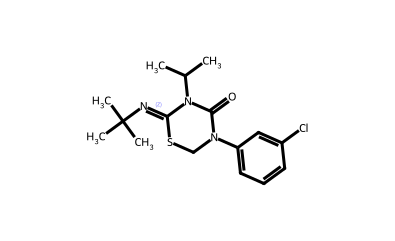 CC(C)N1C(=O)N(c2cccc(Cl)c2)CS/C1=N\C(C)(C)C